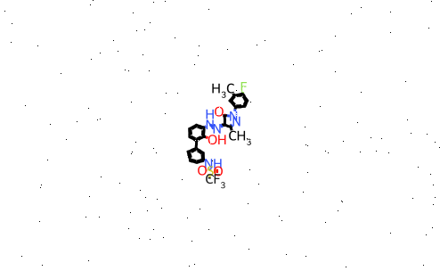 CC1=NN(c2ccc(F)c(C)c2)C(=O)C1=NNc1cccc(-c2cccc(NS(=O)(=O)C(F)(F)F)c2)c1O